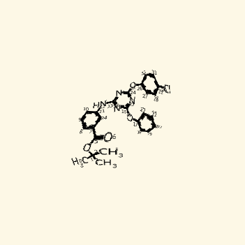 CC(C)(C)OC(=O)c1cccc(Nc2nc(Oc3ccccc3)nc(Oc3ccc(Cl)cc3)n2)c1